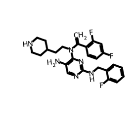 C=C(c1ccc(F)cc1F)N(CCC1CCNCC1)c1nc(NCc2ccccc2F)ncc1N